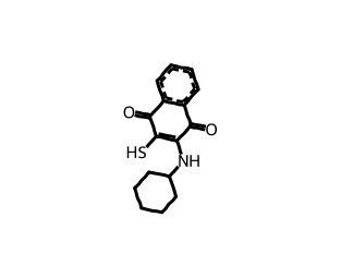 O=C1C(S)=C(NC2CCCCC2)C(=O)c2ccccc21